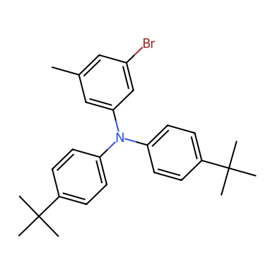 Cc1cc(Br)cc(N(c2ccc(C(C)(C)C)cc2)c2ccc(C(C)(C)C)cc2)c1